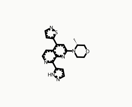 C[C@@H]1COCCN1c1cc(-c2ccns2)c2ccnc(-c3ccn[nH]3)c2n1